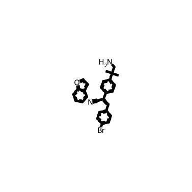 CC(C)(CN)c1ccc(/C(C#N)=C/c2ccc(Br)cc2)cc1.c1ccc2occc2c1